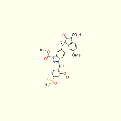 CCOc1cc(S(C)(=O)=O)ncc1Nc1nn(C(=O)OC(C)(C)C)c2cc(C3CC34C(=O)N(C(=O)O)c3ccc(OC)cc34)ccc12